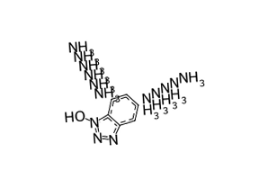 N.N.N.N.N.N.N.N.N.N.N.On1nnc2ccccc21